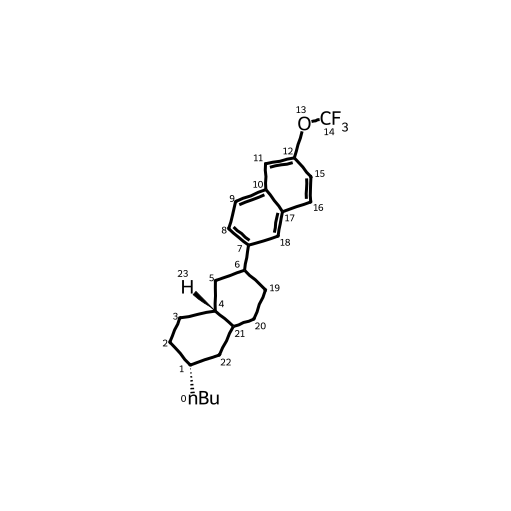 CCCC[C@@H]1CC[C@@H]2CC(c3ccc4cc(OC(F)(F)F)ccc4c3)CCC2C1